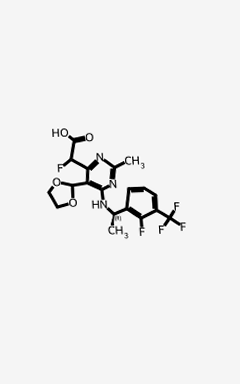 Cc1nc(N[C@H](C)c2cccc(C(F)(F)F)c2F)c(C2OCCO2)c(C(F)C(=O)O)n1